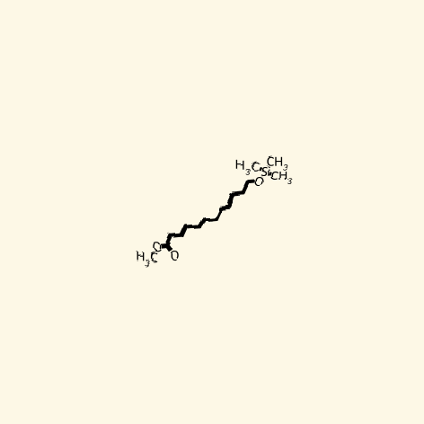 COC(=O)CCCCCCCC=CCCO[Si](C)(C)C